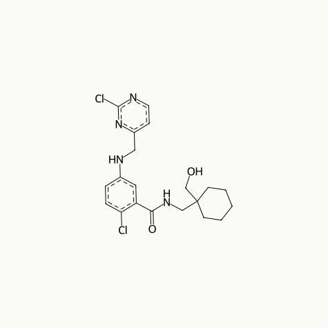 O=C(NCC1(CO)CCCCC1)c1cc(NCc2ccnc(Cl)n2)ccc1Cl